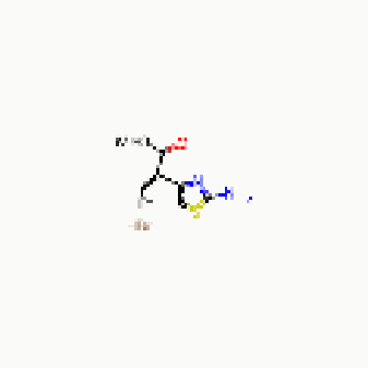 Br.CC/C=C(/C(=O)OC)c1csc(N)n1